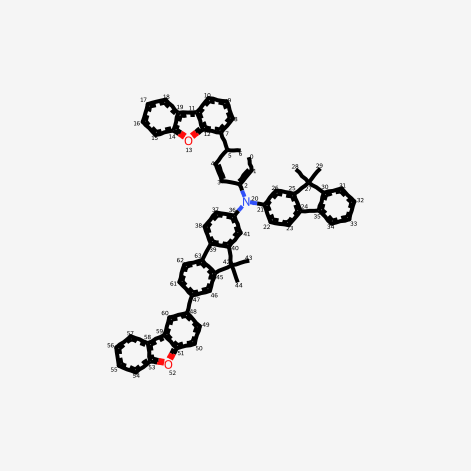 C/C=C(\C=C/C(C)c1cccc2c1oc1ccccc12)N(c1ccc2c(c1)C(C)(C)c1ccccc1-2)c1ccc2c(c1)C(C)(C)c1cc(-c3ccc4oc5ccccc5c4c3)ccc1-2